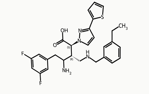 CCc1cccc(CNC[C@H](C(N)Cc2cc(F)cc(F)c2)[C@@H](C(=O)O)n2ccc(-c3cccs3)n2)c1